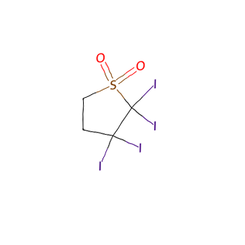 O=S1(=O)CCC(I)(I)C1(I)I